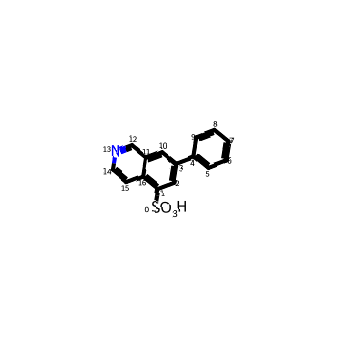 O=S(=O)(O)c1cc(-c2ccccc2)cc2cnccc12